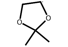 CC1(C)O[CH]CO1